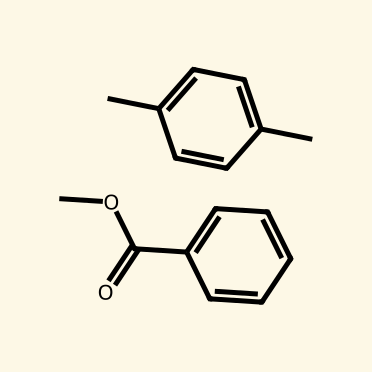 COC(=O)c1ccccc1.Cc1ccc(C)cc1